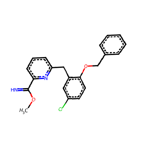 COC(=N)c1cccc(Cc2cc(Cl)ccc2OCc2ccccc2)n1